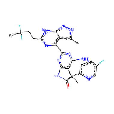 Cc1nnc2[nH]c(CCC(F)(F)C(F)(F)F)nc(-c3nc(N)c4c(n3)NC(=O)C4(C)c3ccc(F)cn3)c1-2